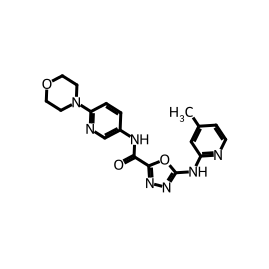 Cc1ccnc(Nc2nnc(C(=O)Nc3ccc(N4CCOCC4)nc3)o2)c1